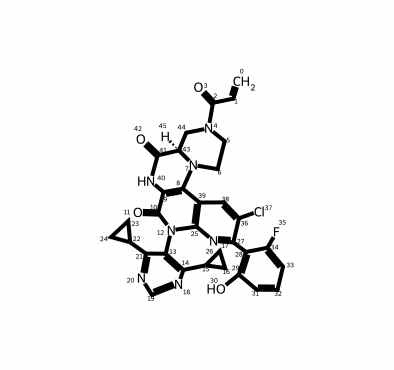 C=CC(=O)N1CCN2c3c(c(=O)n(-c4c(C5CC5)ncnc4C4CC4)c4nc(-c5c(O)cccc5F)c(Cl)cc34)NC(=O)[C@H]2C1